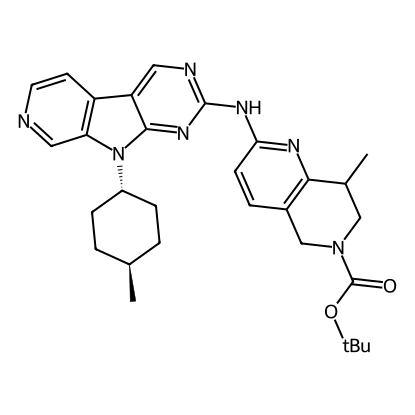 CC1CN(C(=O)OC(C)(C)C)Cc2ccc(Nc3ncc4c5ccncc5n([C@H]5CC[C@H](C)CC5)c4n3)nc21